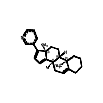 C[C@]12CC[C@H]3[C@@H](CC=C4CCCC[C@@]43C)C1=CC=C2c1cccnc1